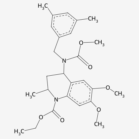 CCOC(=O)N1c2cc(OC)c(OC)cc2C(N(Cc2cc(C)cc(C)c2)C(=O)OC)CC1C